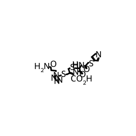 NC(=O)CCn1nnnc1SCC1=C(C(=O)O)N2C(=O)C(NC(=O)CSc3ccncc3)[C@H]2SC1